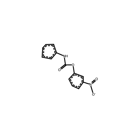 O=C(Nc1ccccc1)Oc1cccc([N+](=O)[O-])c1